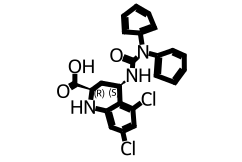 O=C(O)[C@H]1C[C@H](NC(=O)N(c2ccccc2)c2ccccc2)c2c(Cl)cc(Cl)cc2N1